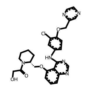 O=C(CO)N1CCCC[C@@H]1COc1cccc2ncnc(Nc3ccc(OCc4cnccn4)c(Cl)c3)c12